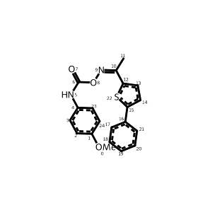 COc1ccc(NC(=O)O/N=C(/C)c2ccc(-c3ccccc3)s2)cc1